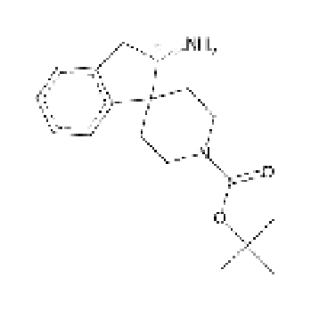 CC(C)(C)OC(=O)N1CCC2(CC1)c1ccccc1C[C@@H]2N